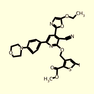 CCOc1cnc(-c2cc(-c3ccc(N4CCOCC4)cc3)nc(OCc3cc(I)sc3C(=O)OC)c2C#N)o1